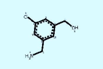 NCc1cc(Cl)cc(CO)c1